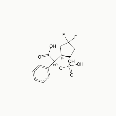 O=C(O)[C@](OP(=O)(O)O)(c1ccccc1)[C@@H]1CCC(F)(F)C1